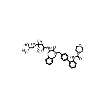 C[C@@H](O)CNC(C)(C)CC(=O)N[C@@H]1Sc2ccccc2CN(Cc2ccc(-c3ccccc3NC(=O)N3CCOCC3)cc2)C1=O